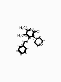 Cc1nc(Cl)c(N2CCOCC2)c(OCc2ccccc2)c1C